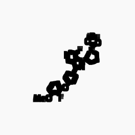 COc1cccc(Oc2ccc(-c3nn(C4CCCN(C(=O)OC(C)(C)C)C4)c4c(F)cncc34)cc2)c1F